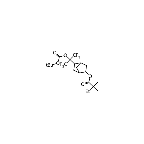 CCC(C)(C)C(=O)OC1CC2CC1CC2C(OC(=O)OC(C)(C)C)(C(F)(F)F)C(F)(F)F